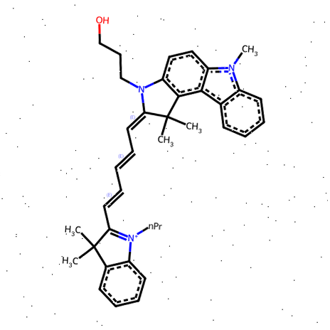 CCC[N+]1=C(/C=C/C=C/C=C2/N(CCCO)c3ccc4c(c3C2(C)C)c2ccccc2n4C)C(C)(C)c2ccccc21